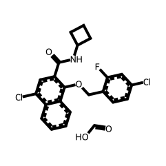 O=C(NC1CCC1)c1cc(Cl)c2ccccc2c1OCc1ccc(Cl)cc1F.O=CO